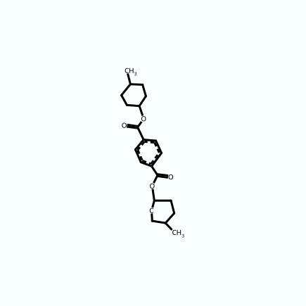 CC1CCC(OC(=O)c2ccc(C(=O)OC3CCC(C)CC3)cc2)CC1